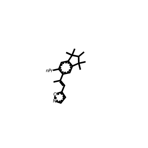 CCCc1cc2c(cc1/C(C)=C/c1ccno1)C(C)(C)C(C)C2(C)C